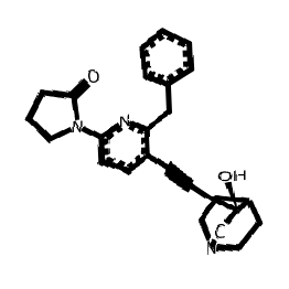 O=C1CCCN1c1ccc(C#C[C@@]2(O)CN3CCC2CC3)c(Cc2ccccc2)n1